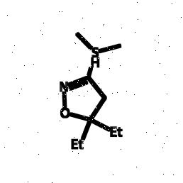 CCC1(CC)CC([SH](C)C)=NO1